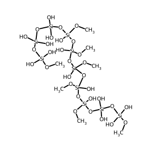 CO[Si](O)(O)O[Si](O)(O)O[Si](O)(O)O[Si](O)(OC)O[Si](O)(OC)O[Si](O)(OC)O[Si](O)(OC)O[Si](O)(OC)O[Si](O)(O)O[Si](O)(O)OC